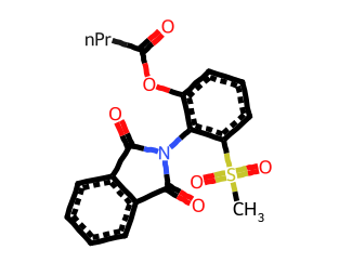 CCCC(=O)Oc1cccc(S(C)(=O)=O)c1N1C(=O)c2ccccc2C1=O